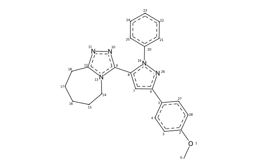 COc1ccc(-c2cc(-c3nnc4n3CCCCC4)n(-c3ccccc3)n2)cc1